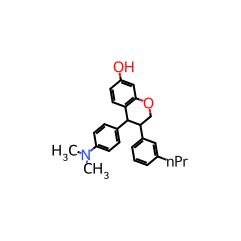 CCCc1cccc(C2COc3cc(O)ccc3C2c2ccc(N(C)C)cc2)c1